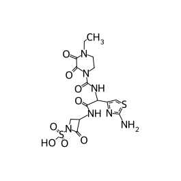 CCN1CCN(C(=O)NC(C(=O)NC2CN(S(=O)(=O)O)C2=O)c2csc(N)n2)C(=O)C1=O